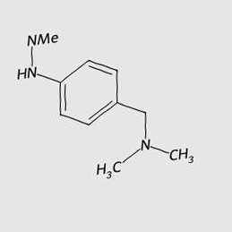 CNNc1ccc(CN(C)C)cc1